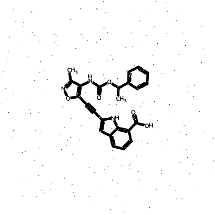 Cc1noc(C#Cc2cc3cccc(C(=O)O)c3[nH]2)c1NC(=O)OC(C)c1ccccc1